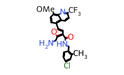 COc1ccc(-c2cc(C(=O)NCc3ccc(Cl)cc3C)c(CN)o2)c2ccc(C(F)(F)F)nc12